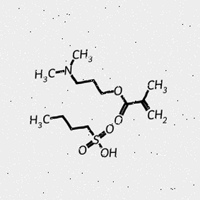 C=C(C)C(=O)OCCCN(C)C.CCCCS(=O)(=O)O